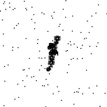 O=CCCC1CCN(c2ccc(C(=O)NS(=O)(=O)c3ccc(NCCSc4ccccc4)c([N+](=O)[O-])c3)cc2)CC1